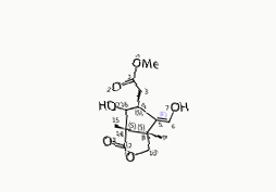 COC(=O)C[C@H]1/C(=C\O)[C@]2(C)COC(=O)[C@]2(C)C1O